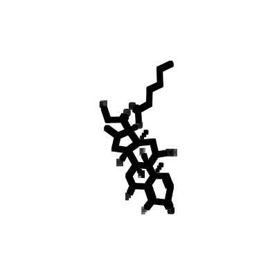 CCCCCC(=O)O[C@]1(C(=O)CCl)C(C)C[C@H]2[C@@H]3CC(F)C4=C(F)C(=O)C=C[C@]4(C)[C@@]3(F)C(O)C[C@@]21C